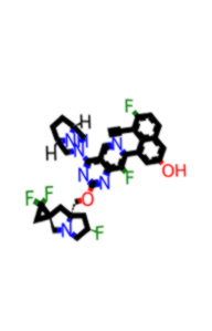 C#Cc1c(F)ccc2cc(O)cc(-c3ncc4c(N5C[C@H]6CC[C@@H](C5)N6)nc(OC[C@]56C[C@H](F)CN5C[C@]5(CC5(F)F)C6)nc4c3F)c12